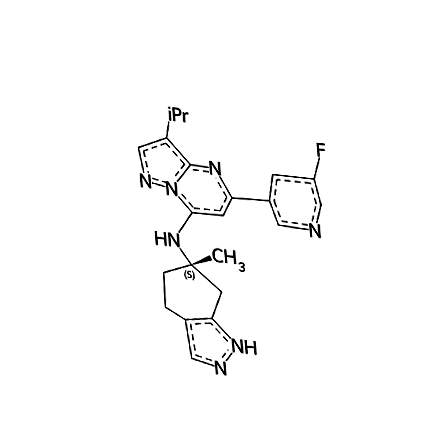 CC(C)c1cnn2c(N[C@@]3(C)CCc4cn[nH]c4C3)cc(-c3cncc(F)c3)nc12